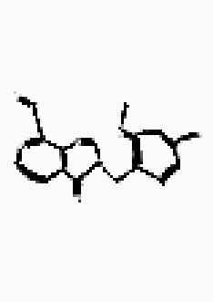 COc1cc(C)ccc1Cn1cnc2c(C=O)nccc2c1=O